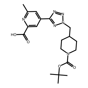 Cc1cc(-c2nnn(CC3CCN(C(=O)OC(C)(C)C)CC3)n2)cc(C(=O)O)n1